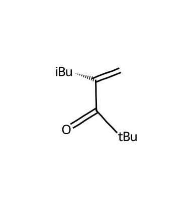 C=C(C(=O)C(C)(C)C)[C@@H](C)CC